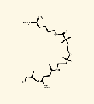 CC(C)CC(C)NC(CCC(=O)NCCC(C)(C)OCCC(C)(C)C(=O)NCCCCC(N)C(=O)O)C(=O)O